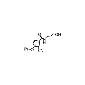 CC(C)Oc1ccc(C(=O)NCCCO)cc1C#N